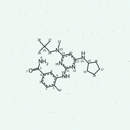 Cc1ccc(C(N)=O)cc1Nc1nc(NC2CCCC2)cc(N(C)CC(C)(C)C)n1